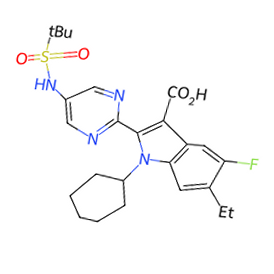 CCc1cc2c(cc1F)c(C(=O)O)c(-c1ncc(NS(=O)(=O)C(C)(C)C)cn1)n2C1CCCCC1